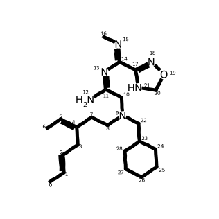 CC=CC/C(=C\C)CCN(C/C(N)=N\C(=N/C)C1=NOCN1)CC1CCCCC1